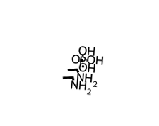 CCN.CCN.O=P(O)(O)O